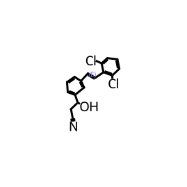 N#CCC(O)c1cccc(/C=C/c2c(Cl)cccc2Cl)c1